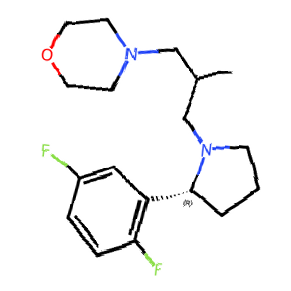 C[C](CN1CCOCC1)CN1CCC[C@@H]1c1cc(F)ccc1F